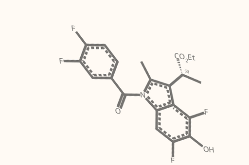 CCOC(=O)[C@H](C)c1c(C)n(C(=O)c2ccc(F)c(F)c2)c2cc(F)c(O)c(F)c12